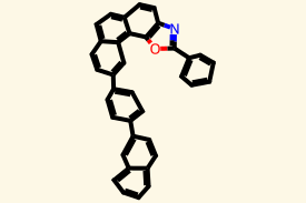 c1ccc(-c2nc3ccc4ccc5ccc(-c6ccc(-c7ccc8ccccc8c7)cc6)cc5c4c3o2)cc1